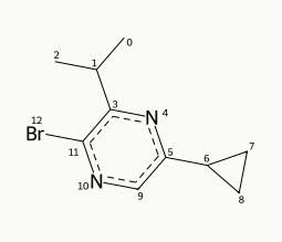 CC(C)c1nc(C2CC2)cnc1Br